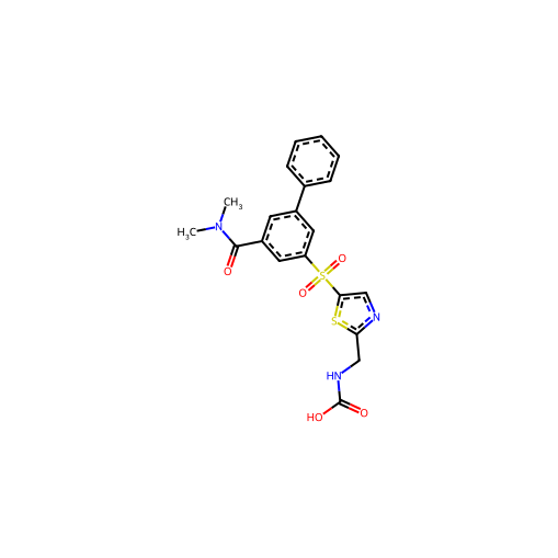 CN(C)C(=O)c1cc(-c2ccccc2)cc(S(=O)(=O)c2cnc(CNC(=O)O)s2)c1